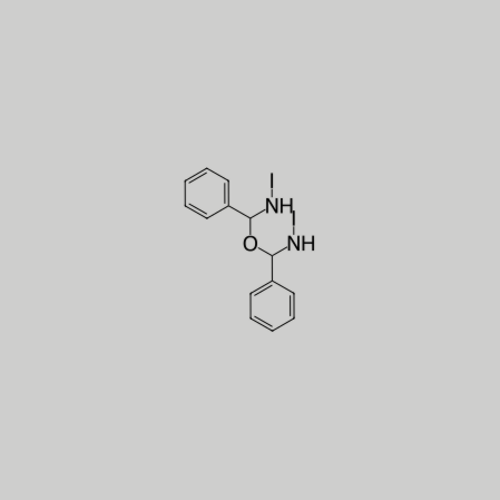 INC(OC(NI)c1ccccc1)c1ccccc1